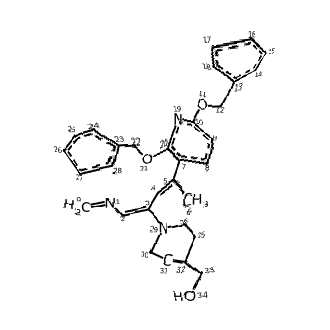 C=N/C=C(\C=C(/C)c1ccc(OCc2ccccc2)nc1OCc1ccccc1)N1CCC(CO)CC1